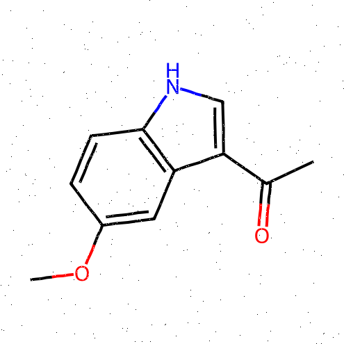 COc1ccc2[nH]cc(C(C)=O)c2c1